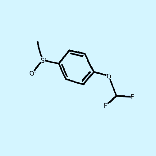 C[S+]([O-])c1ccc(OC(F)F)cc1